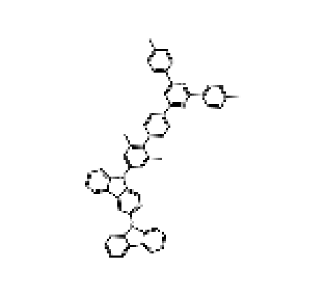 Cc1ccc(-c2cc(-c3ccc(-c4c(C)cc(-n5c6ccccc6c6cc(-n7c8ccccc8c8ccccc87)ccc65)cc4C)cc3)nc(-c3ccc(C)cc3)n2)cc1